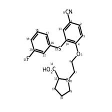 N#Cc1ccc(OCCN2CCCC2C(=O)O)c(Sc2cccc(F)c2)c1